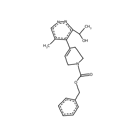 Cc1cnnc(C(C)O)c1C1=CCN(C(=O)OCc2ccccc2)CC1